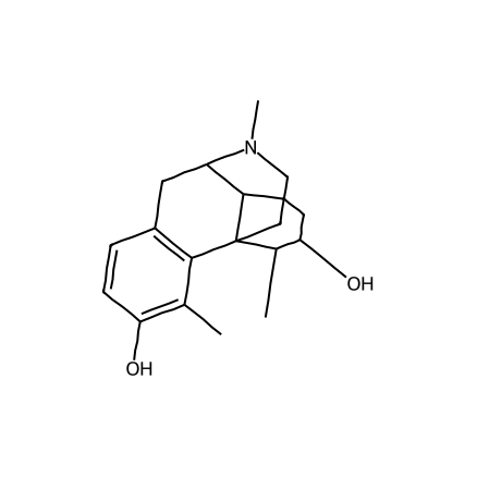 Cc1c(O)ccc2c1C13CCN(C)C(C2)C1CCC(O)C3C